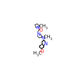 COc1ccc2cc(N(C)[C@H]3CCN(CC(=O)N4CCC[C@H]4C)C3)cnc2c1